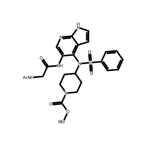 CC(=O)NCC(=O)Nc1cnc2[nH]ccc2c1N(C1CCN(C(=O)OC(C)(C)C)CC1)S(=O)(=O)c1ccccc1